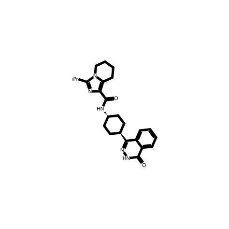 CC(C)c1nc(C(=O)N[C@H]2CC[C@H](c3n[nH]c(=O)c4ccccc43)CC2)c2n1CCCC2